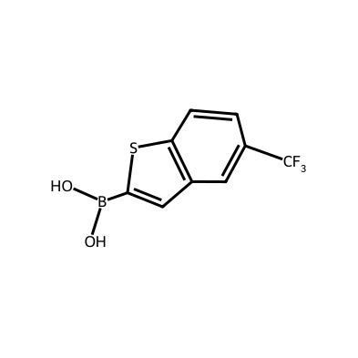 OB(O)c1cc2cc(C(F)(F)F)ccc2s1